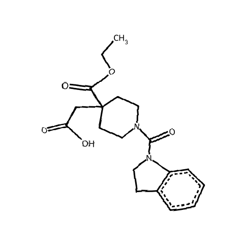 CCOC(=O)C1(CC(=O)O)CCN(C(=O)N2CCc3ccccc32)CC1